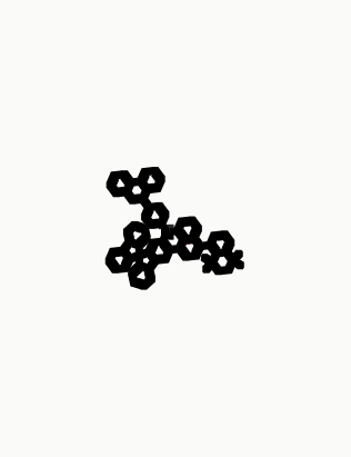 CC1(C)CCC(C)(C)c2c(-c3ccc(-c4cc5c(cc4N(c4ccccc4)c4ccc(-c6cc7ccccc7c7ccccc67)cc4)C4(c6ccccc6-c6ccccc64)c4ccccc4-5)cc3)cccc21